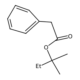 CCC(C)(C)OC(=O)Cc1ccccc1